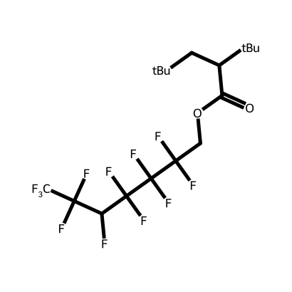 CC(C)(C)CC(C(=O)OCC(F)(F)C(F)(F)C(F)(F)C(F)C(F)(F)C(F)(F)F)C(C)(C)C